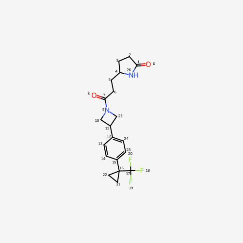 O=C1CCC(CCC(=O)N2CC(c3ccc(C4(C(F)(F)F)CC4)cc3)C2)N1